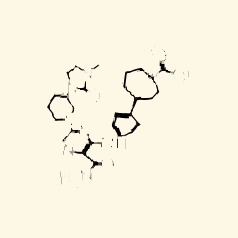 CN1CCN([C@@H]2CCCN(c3cnc(C(N)=O)c(Nc4ccc(C5CCC[C@@H](C(=O)O)CC5)cc4)n3)C2)C1=O